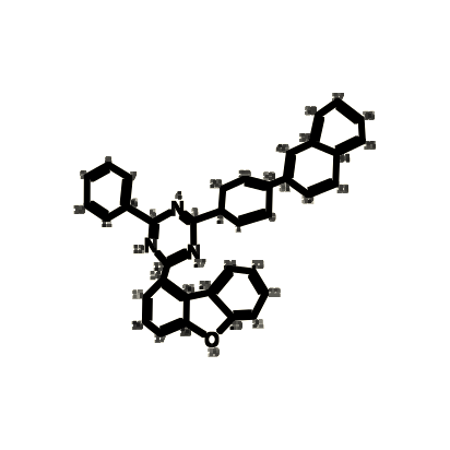 C1=CC(c2nc(-c3ccccc3)nc(-c3cccc4oc5ccccc5c34)n2)CC=C1c1ccc2ccccc2c1